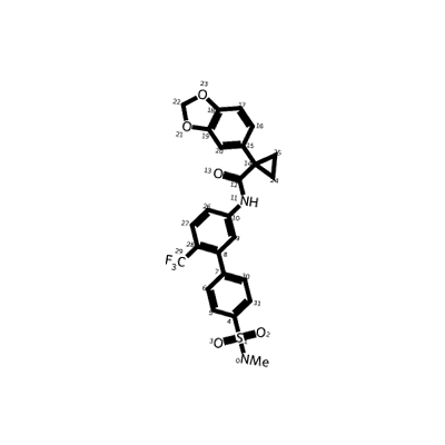 CNS(=O)(=O)c1ccc(-c2cc(NC(=O)C3(c4ccc5c(c4)OCO5)CC3)ccc2C(F)(F)F)cc1